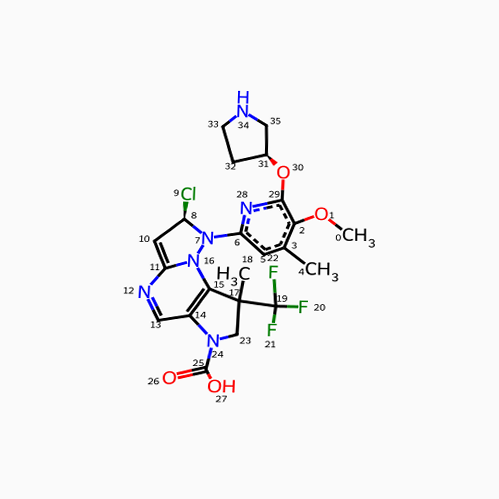 COc1c(C)cc(N2[C@H](Cl)C=C3N=CC4=C(N32)C(C)(C(F)(F)F)CN4C(=O)O)nc1O[C@H]1CCNC1